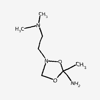 CN(C)CCN1COC(C)(N)O1